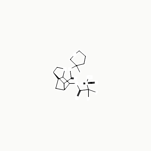 CC1(OC(=O)C2C3COC4C3CC2C4OC(=O)C(F)(F)S(=O)(=O)O)CCCCC1